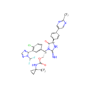 N=C1N[C@H](c2ccc(-c3cnc(C(F)(F)F)nc3)cc2)C(=O)N1[C@H](COC(=O)NC1(C(F)(F)F)CC1)c1ccc(Cl)c(-c2ncnn2C(F)F)c1